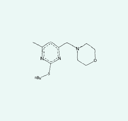 CCCCSc1nc(C)cc(CN2CCOCC2)n1